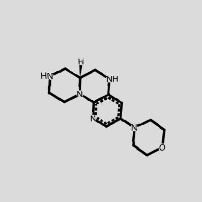 c1nc2c(cc1N1CCOCC1)NC[C@H]1CNCCN21